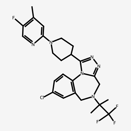 Cc1cc(N2CCC(c3nnc4n3-c3ccc(Cl)cc3CN(C(C)(C)C(F)(F)F)C4)CC2)ncc1F